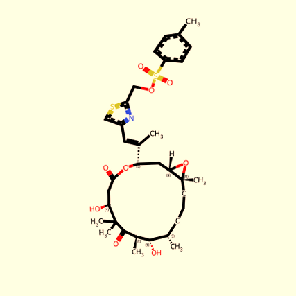 CC(=Cc1csc(COS(=O)(=O)c2ccc(C)cc2)n1)[C@@H]1C[C@@H]2O[C@]2(C)CCC[C@H](C)[C@H](O)[C@@H](C)C(=O)C(C)(C)[C@@H](O)CC(=O)O1